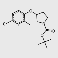 CC(C)(C)OC(=O)N1CCC(Oc2ccc(Cl)nc2I)C1